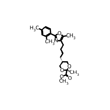 COC(=O)[C@]1(C)OC[C@H](CCCCc2nc(-c3ccc(C)cc3C)oc2C)CO1